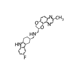 Cc1cnc2c3c(ccc2n1)OC[C@H](CNC[C@@H]1CCc2[nH]c4ccc(F)cc4c2C1)O3